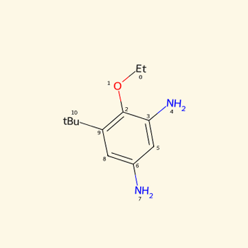 CCOc1c(N)cc(N)cc1C(C)(C)C